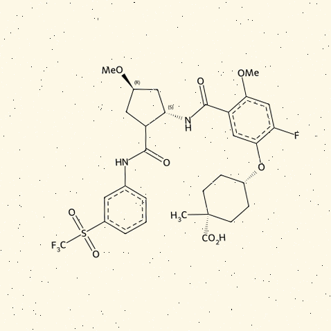 COc1cc(F)c(O[C@H]2CC[C@@](C)(C(=O)O)CC2)cc1C(=O)N[C@H]1C[C@H](OC)CC1C(=O)Nc1cccc(S(=O)(=O)C(F)(F)F)c1